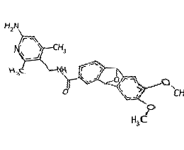 COc1cc2c(cc1OC)C1OC2c2ccc(C(=O)NCc3c(C)cc(N)nc3C)cc21